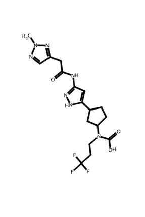 Cn1ncc(CC(=O)Nc2cc(C3CCC(N(CCC(F)(F)F)C(=O)O)C3)[nH]n2)n1